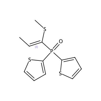 C/C=C(\SC)P(=O)(c1cccs1)c1cccs1